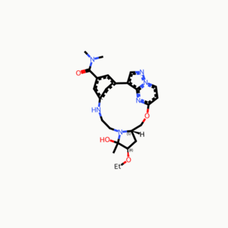 CCO[C@@H]1C[C@H]2COc3ccn4ncc(c4n3)-c3cc(cc(C(=O)N(C)C)c3)NCCN2C1(C)O